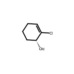 O[C@@H]1CCCC=C1Cl